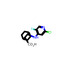 O=C(O)C1C2CCC(CC2)C1Nc1cc(Cl)ncc1F